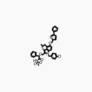 CC1Cc2c(OCc3ccc(-c4ccccc4)cn3)ccc3c2c(c(COC(C(=O)NS(C)(=O)=O)c2ccccc2)n3Cc2ccc(Cl)cc2)S1